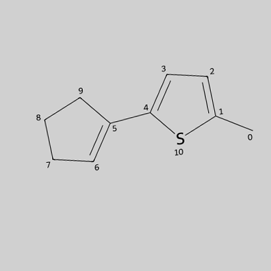 Cc1ccc(C2=CCCC2)s1